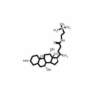 C[C@H](CCC(=O)NCC[N+](C)(C)C)[C@H]1CCC2C3C(C[C@H](O)[C@@]21C)[C@@]1(C)CC[C@@H](O)CC1C[C@H]3O